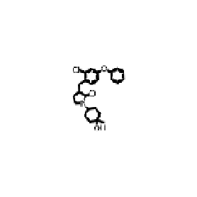 CC1(O)CCC(N2CCC(Cc3ccc(Oc4ccccc4)cc3Cl)C2=O)CC1